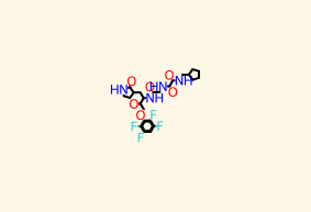 O=C(CNC(=O)C(=O)NCC1CCCC1)NC(CC1CCNC1=O)C(=O)COc1c(F)c(F)cc(F)c1F